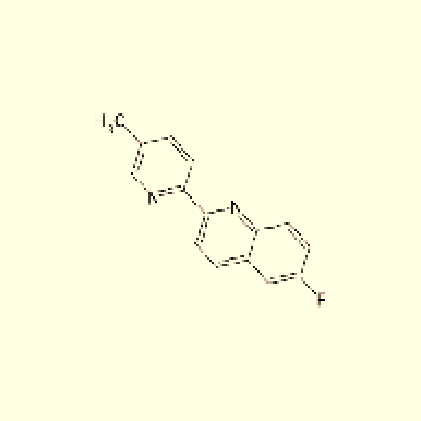 Cc1ccc(-c2ccc3cc(F)ccc3n2)nc1